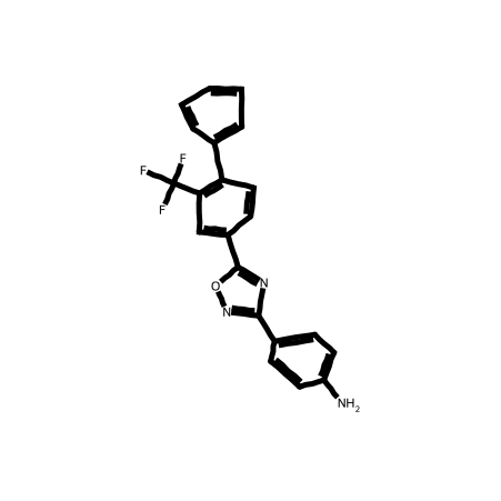 Nc1ccc(-c2noc(-c3ccc(-c4ccccc4)c(C(F)(F)F)c3)n2)cc1